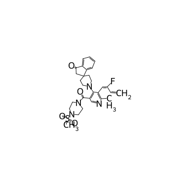 C=C/C(F)=C\c1c(C)ncc(C(=O)N2CCN(S(C)(=O)=O)CC2)c1N1CCC2(CC1)CC(=O)c1ccccc12